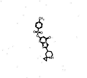 Cc1ccc(S(=O)(=O)Oc2cc(=O)n3cc(C4CCNC5(CC5)C4)sc3n2)cc1